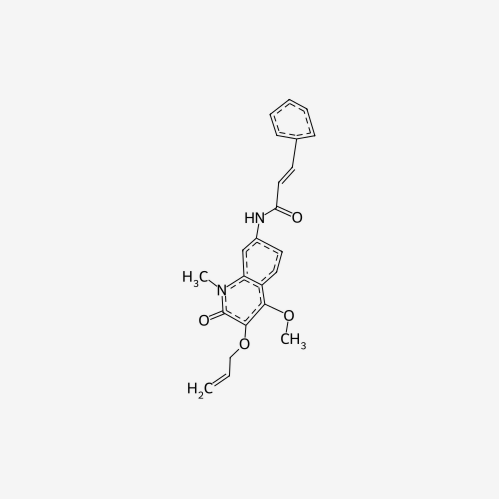 C=CCOc1c(OC)c2ccc(NC(=O)C=Cc3ccccc3)cc2n(C)c1=O